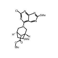 CSc1ncc2c(N3C[C@@H]4CC(SC)[C@@H](C3)N4C(=O)OC(C)(C)C)nc(Cl)nc2n1